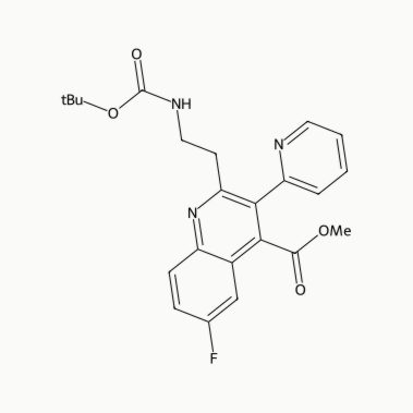 COC(=O)c1c(-c2ccccn2)c(CCNC(=O)OC(C)(C)C)nc2ccc(F)cc12